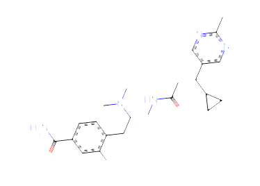 Cc1ncc([C@@H](CC(=O)NC[C@H](Cc2ccc(C(N)=O)cc2Cl)N(C)C)C2CC2)cn1